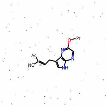 CC(=O)/C(C#N)=C\Cc1c[nH]c2ncc(OC(C)C)nc12